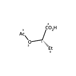 CC[C@H](OC(C)=O)C(=O)O